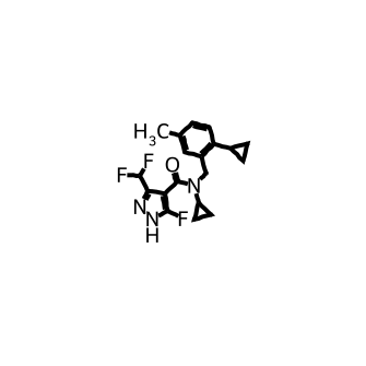 Cc1ccc(C2CC2)c(CN(C(=O)c2c(C(F)F)n[nH]c2F)C2CC2)c1